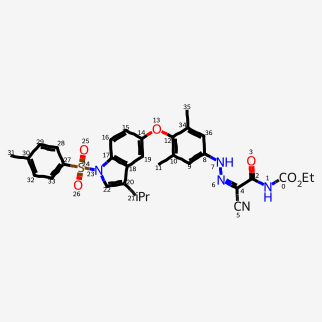 CCOC(=O)NC(=O)C(C#N)=NNc1cc(C)c(Oc2ccc3c(c2)c(C(C)C)cn3S(=O)(=O)c2ccc(C)cc2)c(C)c1